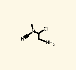 CN(C#N)C(Cl)CN